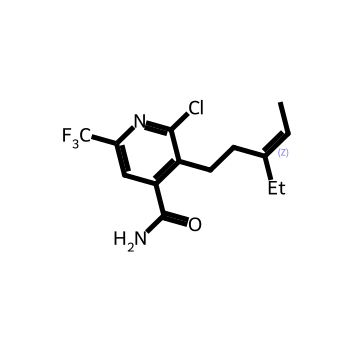 C/C=C(/CC)CCc1c(C(N)=O)cc(C(F)(F)F)nc1Cl